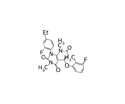 CCc1ccc(-n2c(=O)n(C)c(=O)c3c(Oc4cccc(F)c4C)cc(=O)n(C)c32)c(F)c1